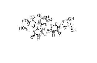 O=c1cc[nH]c(=O)[nH]1.O=c1ccn([C@@H]2O[C@H](CO)[C@@H](O)[C@H]2O)c(=O)[nH]1.O=c1ccn([C@H]2C[C@H](O)[C@@H](CO)O2)c(=O)[nH]1